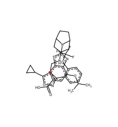 CC(C)Oc1cc(C(=O)O)cc2sc(N3C4CCC3CC(NCc3c(-c5ccccc5OC(F)(F)F)noc3C3CC3)C4)nc12